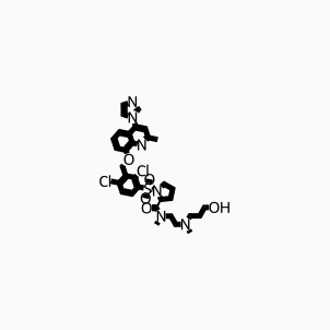 Cc1cc(-n2ccnc2)c2cccc(OCc3c(Cl)ccc(S(=O)(=O)N4CCC[C@H]4C(=O)N(C)CCN(C)CCCO)c3Cl)c2n1